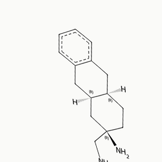 NC[C@@]1(N)CC[C@@H]2Cc3ccccc3C[C@@H]2C1